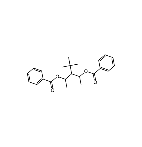 CC(OC(=O)c1ccccc1)C(C(C)OC(=O)c1ccccc1)C(C)(C)C